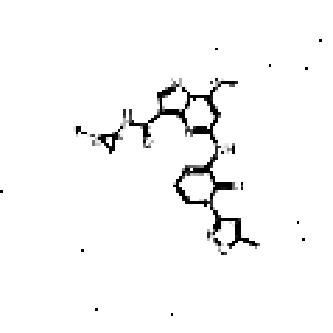 CNc1cc(Nc2cccn(-c3cc(C)on3)c2=O)nc2c(C(=O)N[C@H]3C[C@H]3F)cnn12